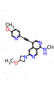 CNc1ncc(C#Cc2ccc(OC)cn2)c2cc(N3CC(OC)C3)ncc12